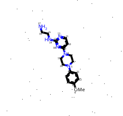 COc1ccc(N2CCN(c3ccnc(NCCN)n3)CC2)cc1